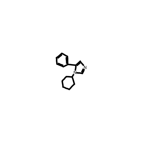 c1ccc(-c2cncn2C2CCCCC2)cc1